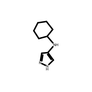 c1n[nH]cc1NC1CCCCC1